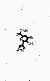 COC(=O)c1cc(Br)c(N)c(-c2cnn(C)c2)n1